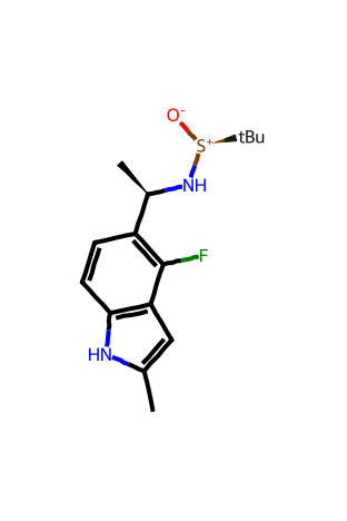 Cc1cc2c(F)c([C@@H](C)N[S@@+]([O-])C(C)(C)C)ccc2[nH]1